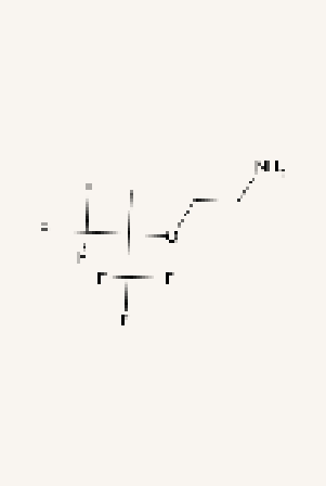 CC(OCCN)(C(F)(F)F)C(F)(F)F